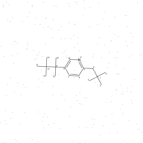 CC(C)(C)Cc1ccc(C(C)(C)C(C)(C)C)cn1